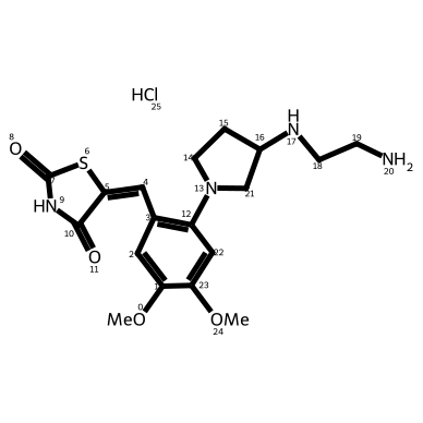 COc1cc(C=C2SC(=O)NC2=O)c(N2CCC(NCCN)C2)cc1OC.Cl